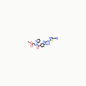 CCOC(=O)CCN(C(=O)c1ccc2c(c1)nc(CNc1ncc(C#N)s1)n2C)c1ccccn1